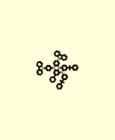 CC(C)(C1=CCCC=C1)c1cccc(N2c3cc(C(C)(C)c4ccccc4)ccc3B3c4cc(N5C6=C(C=CCC6)C6C=CCCC65)ccc4N(c4ccc(N5C6=C(C=CCC6)C6CCC=CC65)cc4)c4cc(C5CCCCC5)cc2c43)c1